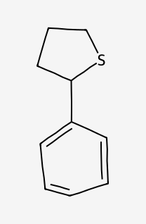 c1ccc(C2CCCS2)cc1